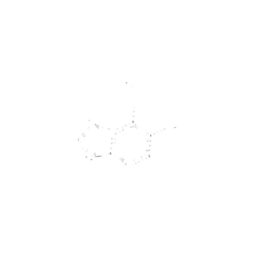 Cc1nc2ncnn2c(O)c1Br.[NaH]